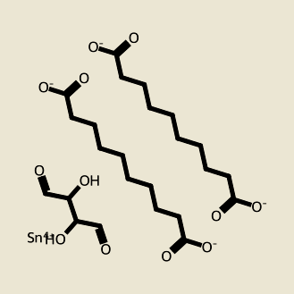 O=C([O-])CCCCCCCCC(=O)[O-].O=C([O-])CCCCCCCCC(=O)[O-].O=CC(O)C(O)C=O.[Sn+4]